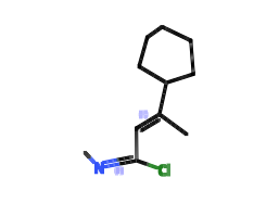 C/N=C(Cl)\C=C(/C)C1CCCCC1